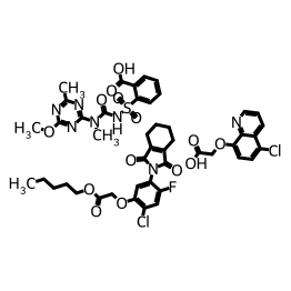 CCCCCOC(=O)COc1cc(N2C(=O)C3=C(CCCC3)C2=O)c(F)cc1Cl.COc1nc(C)nc(N(C)C(=O)NS(=O)(=O)c2ccccc2C(=O)O)n1.O=C(O)COc1ccc(Cl)c2cccnc12